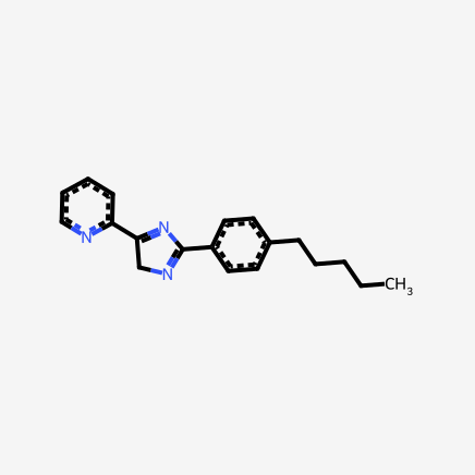 CCCCCc1ccc(C2=NCC(c3ccccn3)=N2)cc1